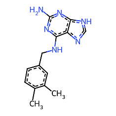 Cc1ccc(CNc2nc(N)nc3[nH]cnc23)cc1C